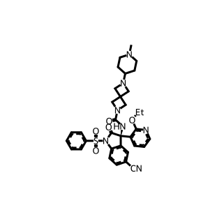 CCOc1ncccc1[C@@]1(NC(=O)N2CC3(C2)CN(C2CCN(C)CC2)C3)C(=O)N(S(=O)(=O)c2ccccc2)c2ccc(C#N)cc21